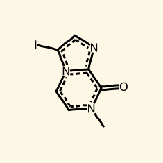 Cn1ccn2c(I)cnc2c1=O